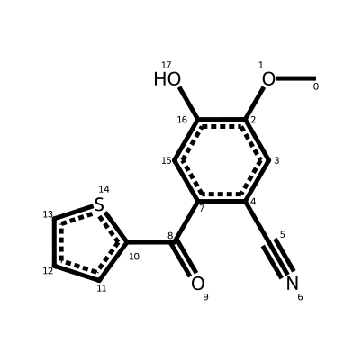 COc1cc(C#N)c(C(=O)c2cccs2)cc1O